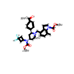 COC(=O)c1ccc([C@@H]2C[C@@H](N(C(=O)OC(C)(C)C)C3CC(F)(F)C3)CCN2Cc2c(OC)cc(C)c3c2ccn3C(=O)OC(C)(C)C)cc1